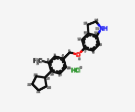 Cl.FC(F)(F)c1cc(COc2ccc3c(c2)CCN3)ccc1C1CCCC1